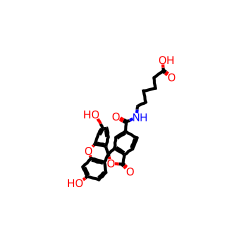 O=C(O)CCCCCNC(=O)c1ccc2c(c1)C1(OC2=O)c2ccc(O)cc2Oc2cc(O)ccc21